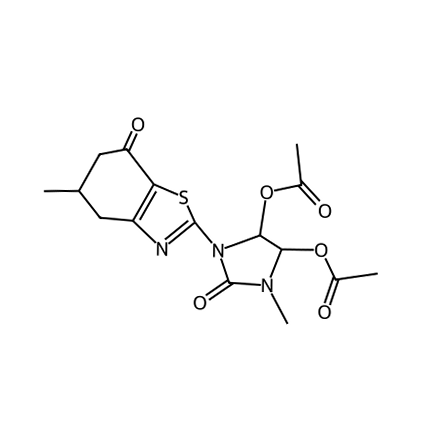 CC(=O)OC1C(OC(C)=O)N(c2nc3c(s2)C(=O)CC(C)C3)C(=O)N1C